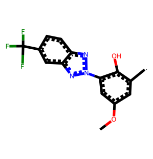 [CH2]c1cc(OC)cc(-n2nc3ccc(C(F)(F)F)cc3n2)c1O